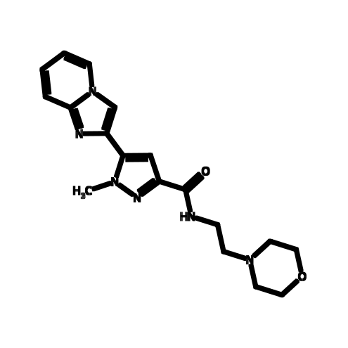 Cn1nc(C(=O)NCCN2CCOCC2)cc1-c1cn2ccccc2n1